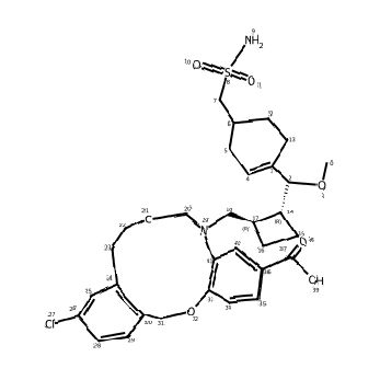 COC(C1=CCC(CS(N)(=O)=O)CC1)[C@@H]1CC[C@H]1CN1CCCCc2cc(Cl)ccc2COc2ccc(C(=O)O)cc21